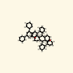 c1ccc(-c2cc(-c3ccccc3)nc(-c3ccc4c(-c5ccccc5-c5ccccc5)c5ccccc5c(-c5ccccc5-c5ccccc5)c4c3)n2)cc1